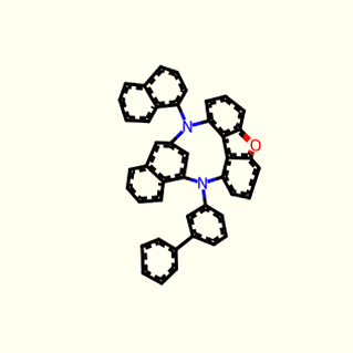 c1ccc(-c2cccc(N3c4cc(cc5ccccc45)N(c4cccc5ccccc45)c4cccc5oc6cccc3c6c45)c2)cc1